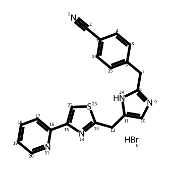 Br.N#Cc1ccc(Cc2ncc(Cc3nc(-c4ccccn4)cs3)[nH]2)cc1